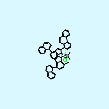 CC1=Cc2c(-c3cccc4ccccc34)ccc(C)c2[CH]1[Zr]([Cl])([Cl])([CH]1C(c2cccc3c2ccc2ccccc23)=Cc2c(-c3cccc4ccccc34)cccc21)[SiH](C)C